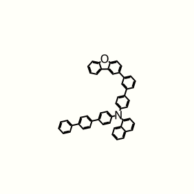 c1ccc(-c2ccc(-c3ccc(N(c4ccc(-c5cccc(-c6ccc7oc8ccccc8c7c6)c5)cc4)c4cccc5ccccc45)cc3)cc2)cc1